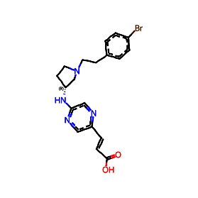 O=C(O)C=Cc1cnc(N[C@@H]2CCN(CCc3ccc(Br)cc3)C2)cn1